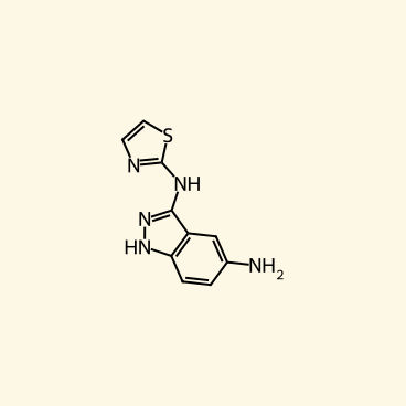 Nc1ccc2[nH]nc(Nc3nccs3)c2c1